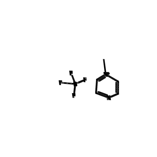 C[n+]1ccncc1.F[B-](F)(F)F